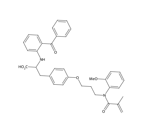 C=C(C)C(=O)N(CCCOc1ccc(CC(Nc2ccccc2C(=O)c2ccccc2)C(=O)O)cc1)c1ccccc1OC